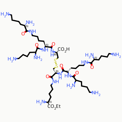 CCOC(=O)[C@@H](N)CCCCNC(=O)[C@H](CSSC[C@H](NC(=O)[C@H](CCCCNC(=O)[C@@H](N)CCCCN)NC(=O)C(N)CCCCN)C(=O)O)NC(=O)[C@H](CCCCNC(=O)[C@@H](N)CCCCN)NC(=O)C(N)CCCCN